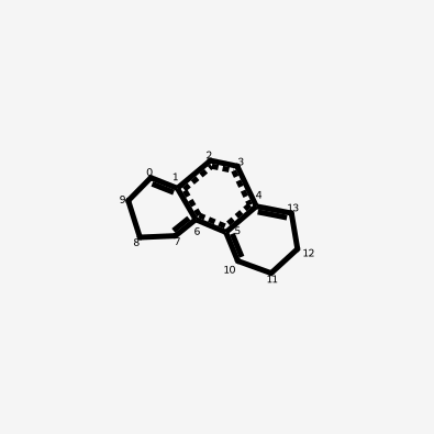 C1=c2ccc3c(c2=CCC1)=CCCC=3